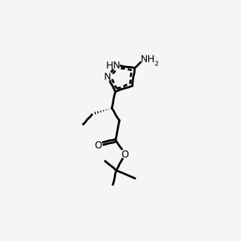 CC[C@@H](CC(=O)OC(C)(C)C)c1cc(N)[nH]n1